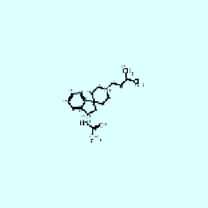 CC(=O)N[C@H]1CC2(CCN(CCC(C)C)CC2)c2ccccc21